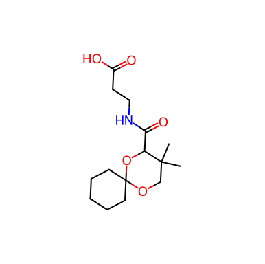 CC1(C)COC2(CCCCC2)OC1C(=O)NCCC(=O)O